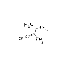 CC(=C=O)C(C)C